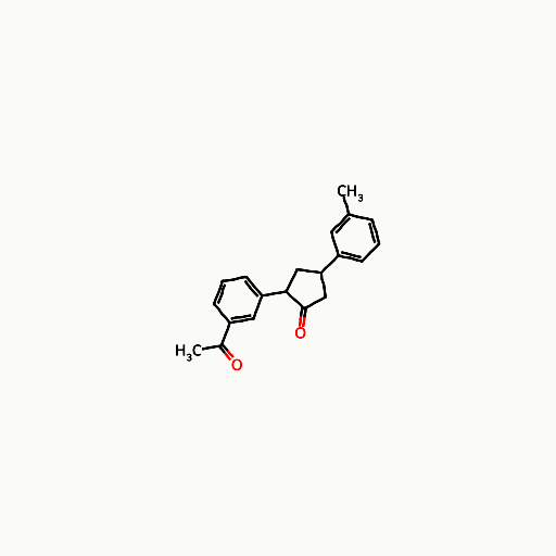 CC(=O)c1cccc(C2CC(c3cccc(C)c3)CC2=O)c1